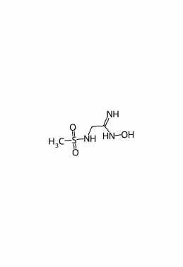 CS(=O)(=O)NCC(=N)NO